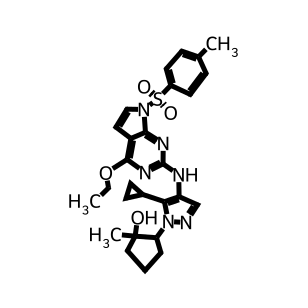 CCOc1nc(Nc2cnn(C3CCCC3(C)O)c2C2CC2)nc2c1ccn2S(=O)(=O)c1ccc(C)cc1